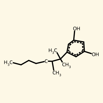 CCCCCC(C)C(C)(C)c1cc(O)cc(O)c1